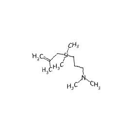 C=C(C)C[Si](C)(C)CCCN(C)C